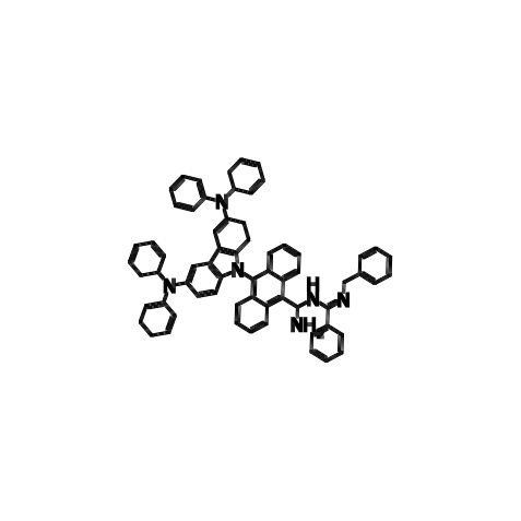 NC(N/C(=N\Cc1ccccc1)c1ccccc1)c1c2ccccc2c(-n2c3c(c4cc(N(C5=CCCC=C5)C5C=CC=CC5)ccc42)C=C(N(c2ccccc2)C2C=CC=CC2)CC3)c2ccccc12